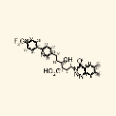 O=C(O)[C@@H](CCn1nnc2cc(F)c(F)cc2c1=O)[C@H](O)CCc1ccc(-c2ccc(C(F)(F)F)cc2)nc1